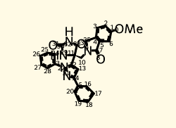 COc1ccc2c(c1)C(=O)N(C[C@@]1(c3cc(-c4ccccc4)nn3-c3ccccc3)NC(=O)NC1=O)C2